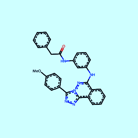 COc1ccc(-c2nnc3c4ccccc4c(Nc4cccc(NC(=O)Cc5ccccc5)c4)nn23)cc1